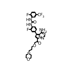 Nc1ncnn2c(C(=O)COCCCN3CCOCC3)cc(-c3ccc(NC(=O)Nc4cc(C(F)(F)F)ccc4F)c(F)c3)c12